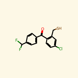 O=C(c1ccc(C(F)F)cc1)c1ccc(Cl)cc1CS